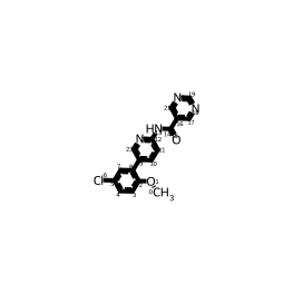 COc1ccc(Cl)cc1-c1ccc(NC(=O)c2cncnc2)nc1